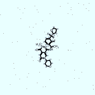 CC(Nc1nn(C)c(=O)c2cc(=O)n(C3CCOCC3)cc12)c1cccc(C(F)(F)[C@@H]2CCCO2)c1F